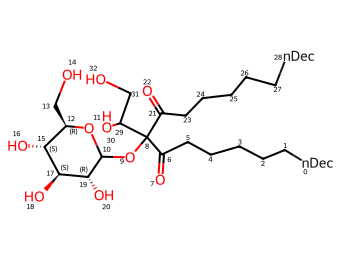 CCCCCCCCCCCCCCCC(=O)C(OC1O[C@H](CO)[C@@H](O)[C@H](O)[C@H]1O)(C(=O)CCCCCCCCCCCCCCC)C(O)CO